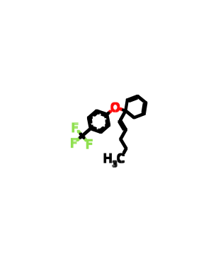 CCCC=CC1(Oc2ccc(C(F)(F)F)cc2)C=CC=CC1